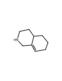 [CH]1NCCC2CCCC=C12